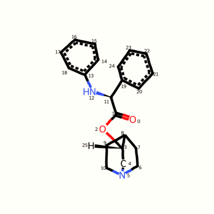 O=C(O[C@H]1CN2CCC1CC2)[C@@H](Nc1ccccc1)c1ccccc1